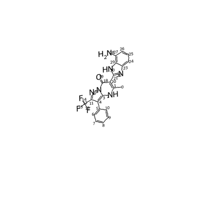 Cc1[nH]c2c(-c3ccccc3)c(C(F)(F)F)nn2c(=O)c1-c1nc2cccc(N)c2[nH]1